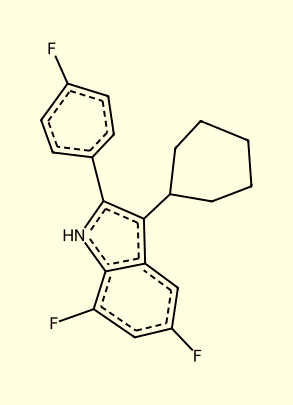 Fc1ccc(-c2[nH]c3c(F)cc(F)cc3c2C2CCCCC2)cc1